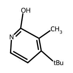 Cc1c(C(C)(C)C)ccnc1O